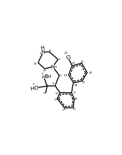 CCCCC(C)(O)C(CN1CCNCC1)c1ccccc1-c1cccc(Cl)c1